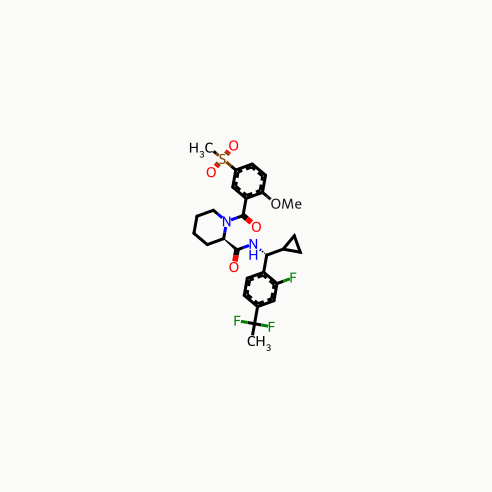 COc1ccc(S(C)(=O)=O)cc1C(=O)N1CCCC[C@@H]1C(=O)N[C@@H](c1ccc(C(C)(F)F)cc1F)C1CC1